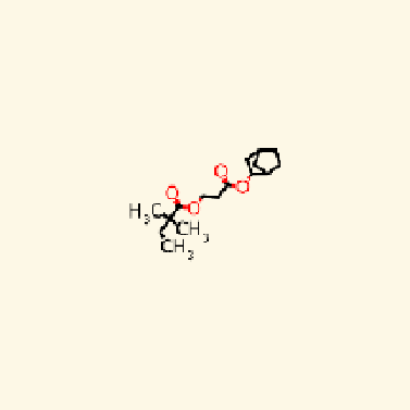 CCC(C)(C)C(=O)OCCC(=O)OC1CC2CCC1C2